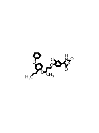 CCCc1cc(Oc2ccccc2)ccc1OC(C)CCOc1ccc(C2NC(=O)SC2=O)cc1Cl